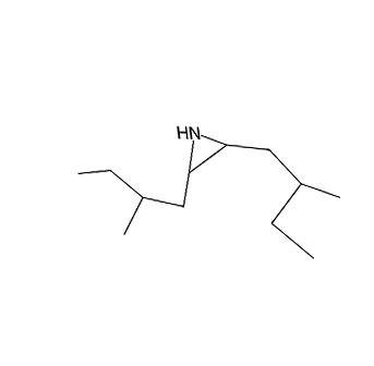 CCC(C)CC1NC1CC(C)CC